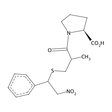 CC(CSC(C[N+](=O)[O-])c1ccccc1)C(=O)N1CCC[C@H]1C(=O)O